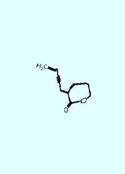 C=CC#CCC1CCCOC1=O